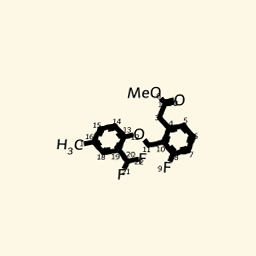 COC(=O)Cc1cccc(F)c1COc1ccc(C)cc1C(F)F